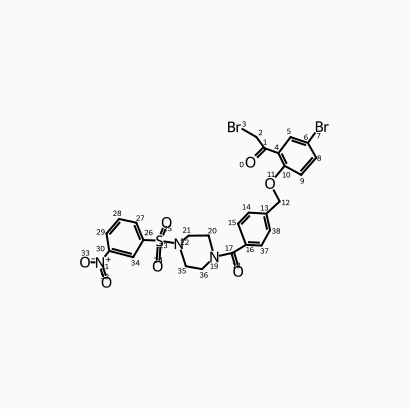 O=C(CBr)c1cc(Br)ccc1OCc1ccc(C(=O)N2CCN(S(=O)(=O)c3cccc([N+](=O)[O-])c3)CC2)cc1